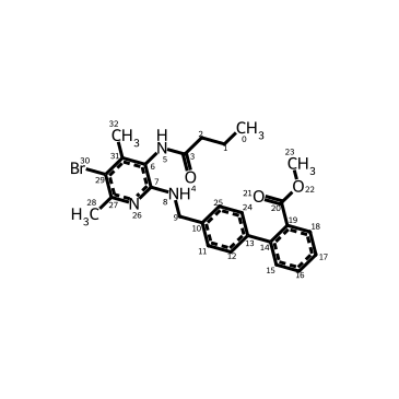 CCCC(=O)Nc1c(NCc2ccc(-c3ccccc3C(=O)OC)cc2)nc(C)c(Br)c1C